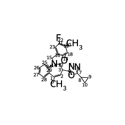 CC1=CC(c2nnc(C3CC3)o2)C(=O)N(Cc2ccc(C)c(F)c2)c2ccccc21